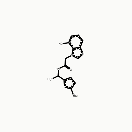 CC(NC(=O)Cn1cnc2cccc(C#N)c21)c1ccc(C(C)(C)C)s1